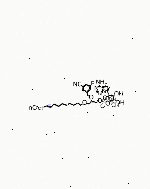 CCCCCCCC/C=C/CCCCCCCCOC[C@H](COP(=O)(O)O[C@@]1(C#N)O[C@@H](c2ccc3c(N)ncnn23)[C@H](O)[C@@H]1O)OCc1cc(F)cc(C#N)c1